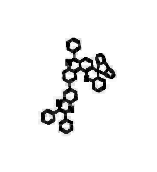 c1ccc(-c2nc3ccc(-c4ccc5nc(-c6ccccc6)c6ccc7c(c6c5c4)Sc4ccccc4C74c5ccccc5-c5ccccc54)cc3nc2-c2ccccc2)cc1